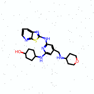 OC1CCC(Nc2cc(CNC3CCOCC3)cc(Nc3nc4cccnc4s3)n2)CC1